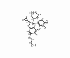 Cc1c(Br)cc(CN(C(=O)[C@H]2CNCC[C@@H]2c2ccn(C)c(=O)c2)C2CC2)cc1CCCO